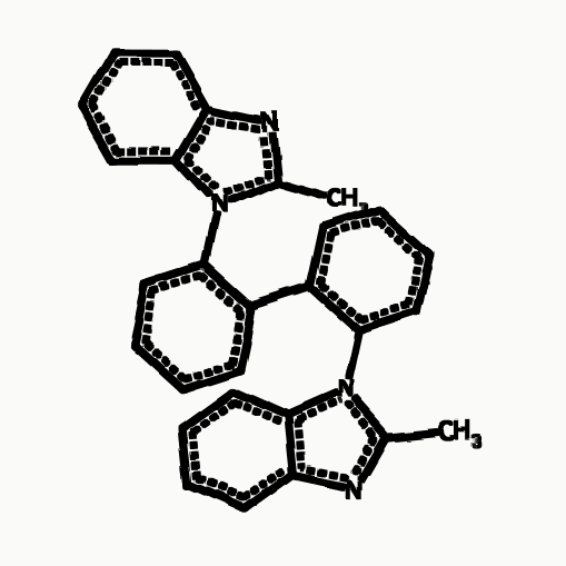 Cc1nc2ccccc2n1-c1ccccc1-c1ccccc1-n1c(C)nc2ccccc21